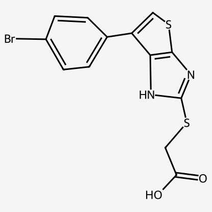 O=C(O)CSc1nc2scc(-c3ccc(Br)cc3)c2[nH]1